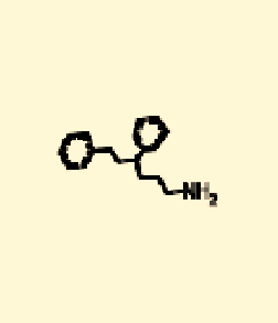 NCCCC(CCc1ccccc1)c1ccccc1